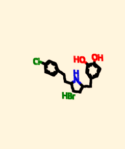 Br.Oc1ccc(CC2CCC(CCc3ccc(Cl)cc3)N2)cc1O